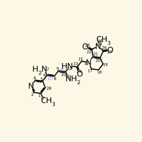 Cc1cncc(/C(N)=C/C=C(\N)NC(=O)CN2CCCC3=C2C(=O)N(C)C3=O)c1